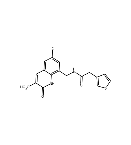 O=C(Cc1ccsc1)NCc1cc(Cl)cc2cc(C(=O)O)c(=O)[nH]c12